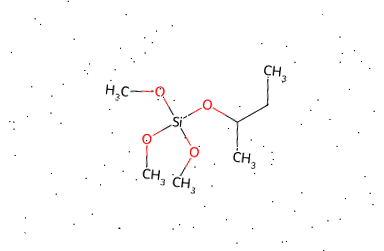 CCC(C)O[Si](OC)(OC)OC